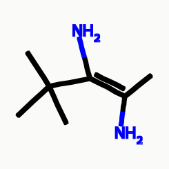 CC(N)=C(N)C(C)(C)C